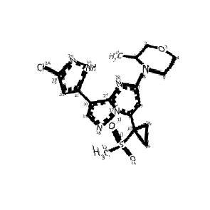 CC1COCCN1c1cc(C2(S(C)(=O)=O)CC2)n2ncc(-c3cc(Cl)n[nH]3)c2n1